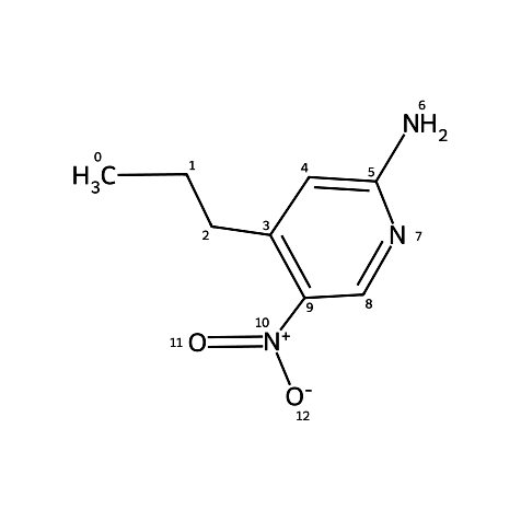 CCCc1cc(N)ncc1[N+](=O)[O-]